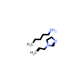 C=CCN1C=NCC1.CCCCCN